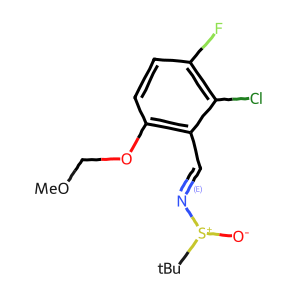 COCOc1ccc(F)c(Cl)c1/C=N/[S+]([O-])C(C)(C)C